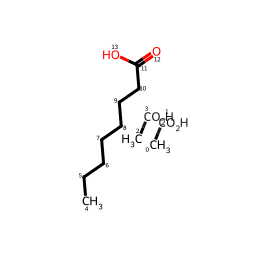 CC(=O)O.CC(=O)O.CCCCCCCC(=O)O